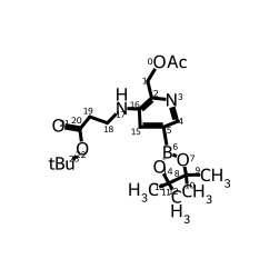 CC(=O)OCc1ncc(B2OC(C)(C)C(C)(C)O2)cc1NCCC(=O)OC(C)(C)C